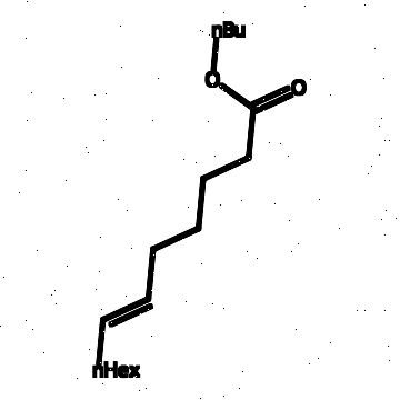 CCCCCCC=CCCCCC(=O)OCCCC